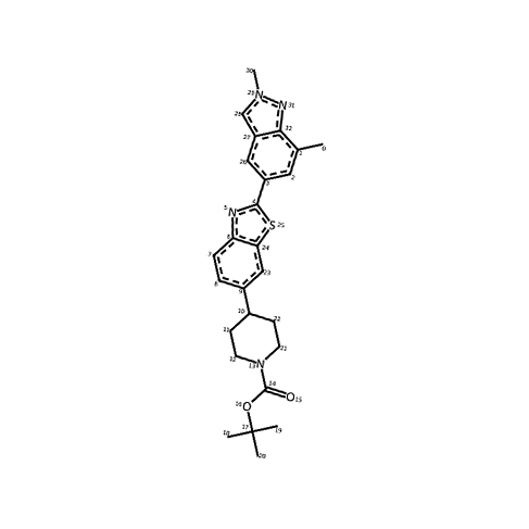 Cc1cc(-c2nc3ccc(C4CCN(C(=O)OC(C)(C)C)CC4)cc3s2)cc2cn(C)nc12